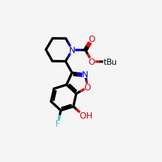 CC(C)(C)OC(=O)N1CCCCC1c1noc2c(O)c(F)ccc12